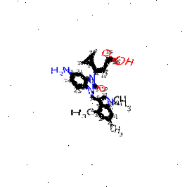 Cc1cc(C)c2c(Cn3c(=O)n(C(CC(=O)O)C4CC4)c4cc(N)ccc43)cn(C)c2c1